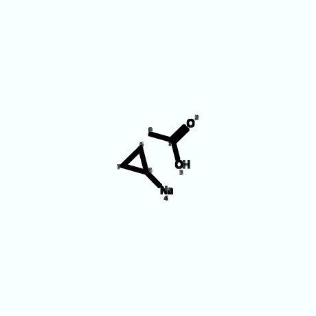 CC(=O)O.[Na][CH]1CC1